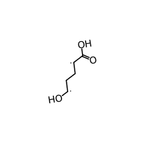 O=C(O)[CH]CC[CH]O